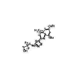 CCOc1cc(C(C)(C)C)c2nc(-c3nnc(NCC(F)(F)CO)o3)cc(C)c2c1